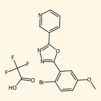 COc1ccc(Br)c(-c2nnc(-c3cccnc3)o2)c1.O=C(O)C(F)(F)F